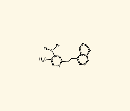 CCN(CC)c1cc(CCc2cccc3ccccc23)ncc1C